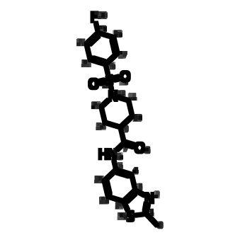 Cc1nc2cc(NC(=O)C3CCN(S(=O)(=O)c4ccc(F)cc4)CC3)ccc2s1